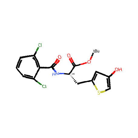 CC(C)(C)OC(=O)[C@H](Cc1cc(O)cs1)NC(=O)c1c(Cl)cccc1Cl